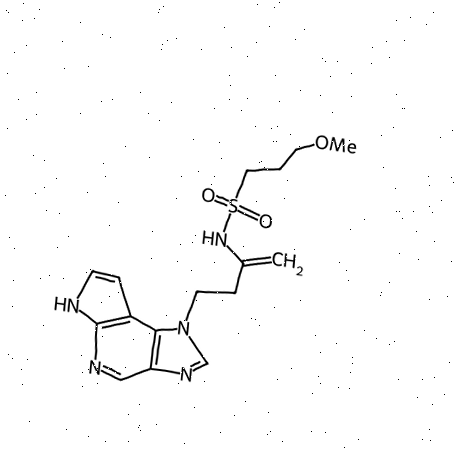 C=C(CCn1cnc2cnc3[nH]ccc3c21)NS(=O)(=O)CCCOC